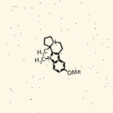 COc1ccc2c(c1)c1c(n2C)C2(C)CCCN2CC1